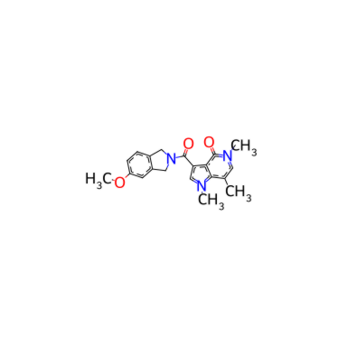 COc1ccc2c(c1)CN(C(=O)c1cn(C)c3c(C)cn(C)c(=O)c13)C2